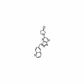 O=C1CCN(c2cnc3nnn(Cc4ccc5ncccc5c4)c3n2)C1